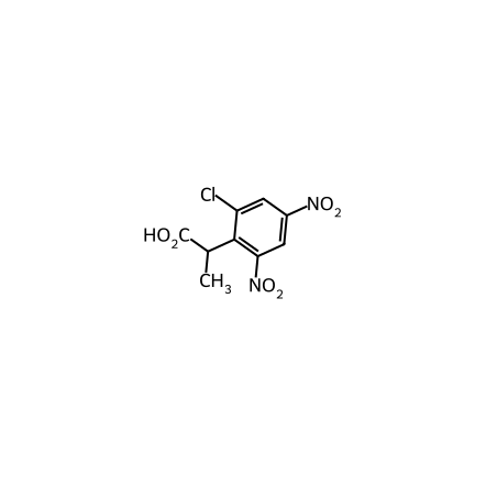 CC(C(=O)O)c1c(Cl)cc([N+](=O)[O-])cc1[N+](=O)[O-]